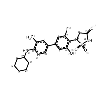 Cc1cc(-c2cc(O)c(N3CC(=O)NS3(=O)=O)c(F)c2)cnc1NC1CCCCC1